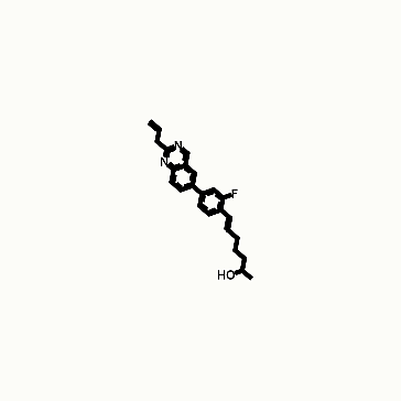 C=CCc1ncc2cc(-c3ccc(C=CCCCC(C)O)c(F)c3)ccc2n1